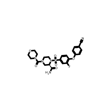 N#Cc1ccc(Oc2ccc(S(=O)(=O)N3CCN(C(=O)N4CCOCC4)C[C@@H]3C(N)=O)cc2F)cc1